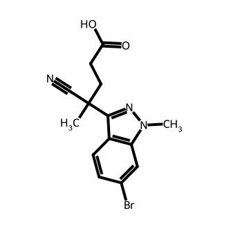 Cn1nc(C(C)(C#N)CCC(=O)O)c2ccc(Br)cc21